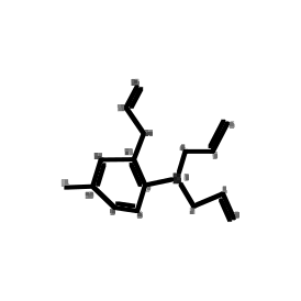 C=CCB(CC=C)c1ccc(C)cc1CC=C